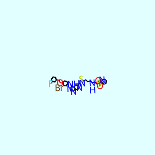 O=S(=O)(CCNCCCc1nc(-c2cc3c(Nc4ccc(OCc5cccc(F)c5)c(Br)c4)ncnc3cn2)cs1)c1ccccn1